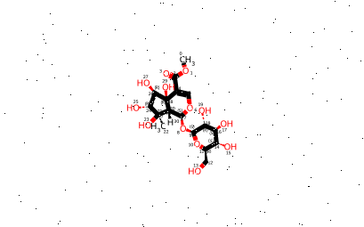 COC(=O)C1=CO[C@@H](O[C@@H]2O[C@H](CO)[C@@H](O)[C@H](O)[C@H]2O)[C@@H]2[C@@](C)(O)[C@H](O)[C@@H](O)[C@]12O